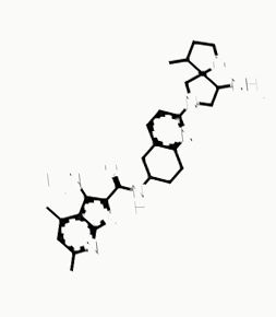 Cc1cc(C)c2c(N)c(C(=O)NC3CCc4nc(N5CC(N)C6(C5)OCCC6C)ccc4C3)sc2n1